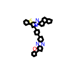 c1ccc2c(c1)ccc1c2ccc2c1nc1c3sc4ccccc4c3cc(-c3ccc(-c4ccc5nc6ccc7c8ccccc8oc7c6nc5c4)cc3)n21